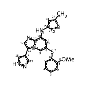 COc1ccccc1Sc1cn2c(-c3cn[nH]c3)cnc2c(Nc2cc(C)ns2)n1